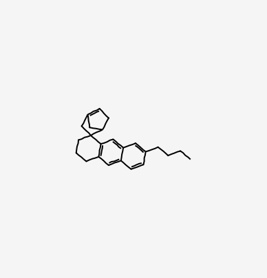 CCCCc1ccc2cc3c(cc2c1)C1(CCC3)CC2=CCC1C2